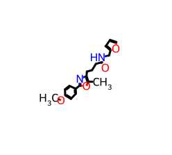 COc1ccc(-c2nc(CCCC(=O)NCc3ccco3)c(C)o2)cc1